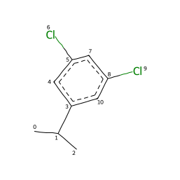 CC(C)c1cc(Cl)cc(Cl)c1